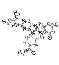 CC(C)Nc1ncc2nc(Nc3c(F)cc(Cl)cc3Cl)n([C@H]3CC[C@@H](C(N)=O)CC3)c2n1